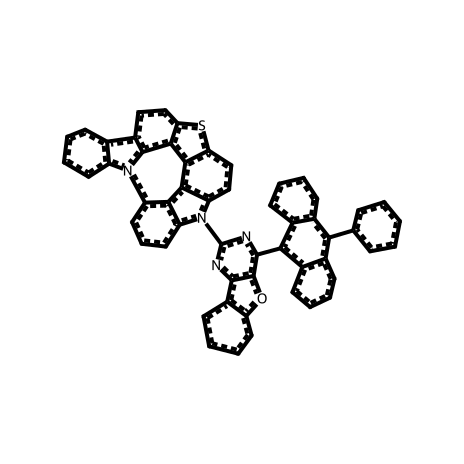 c1ccc(-c2c3ccccc3c(-c3nc(-n4c5ccc6sc7ccc8c9ccccc9n9c%10cccc4c%10c5c6c7c89)nc4c3oc3ccccc34)c3ccccc23)cc1